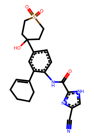 N#Cc1c[nH]c(C(=O)Nc2ccc(C3(O)CCS(=O)(=O)CC3)cc2C2=CCCCC2)n1